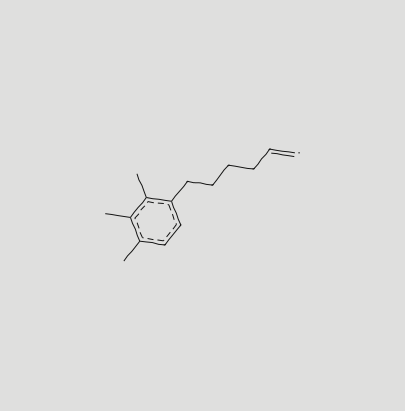 [CH]=CCCCCc1ccc(C)c(C)c1C